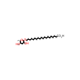 C[C@@H]1O[C@@H](OCCCCCCCCCCCCCCCCCCCC(=O)O)[C@H](O)C[C@H]1O